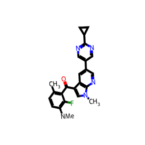 CNc1ccc(C)c(C(=O)c2cn(C)c3ncc(-c4cnc(C5CC5)nc4)cc23)c1F